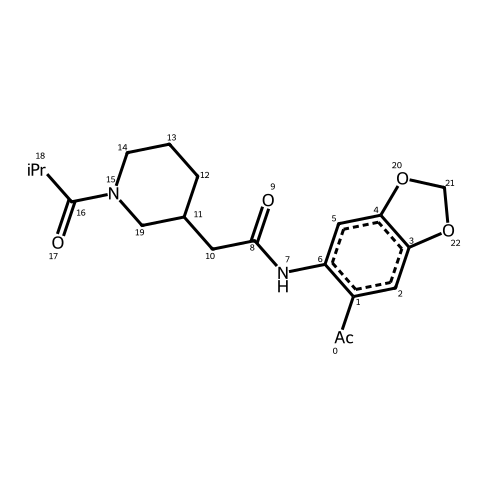 CC(=O)c1cc2c(cc1NC(=O)CC1CCCN(C(=O)C(C)C)C1)OCO2